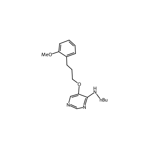 CCCCNc1ncncc1OCCCc1ccccc1OC